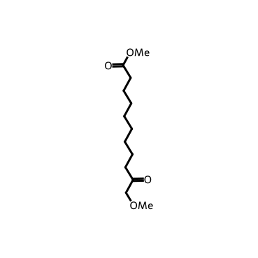 COCC(=O)CCCCCCCCC(=O)OC